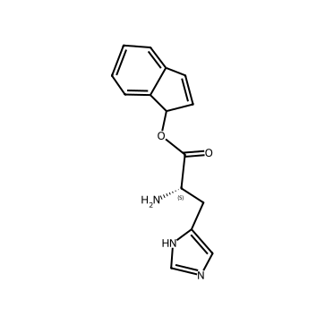 N[C@@H](Cc1cnc[nH]1)C(=O)OC1C=Cc2ccccc21